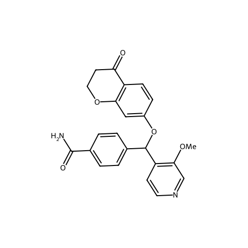 COc1cnccc1C(Oc1ccc2c(c1)OCCC2=O)c1ccc(C(N)=O)cc1